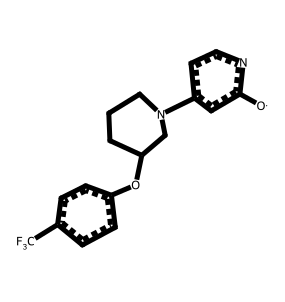 [O]c1cc(N2CCCC(Oc3ccc(C(F)(F)F)cc3)C2)ccn1